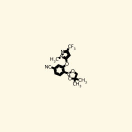 Cn1nc(C(F)(F)F)cc1Oc1cc(C#N)ccc1B1OCC(C)(C)O1